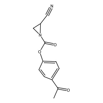 CC(=O)c1ccc(OC(=O)N2CC2C#N)cc1